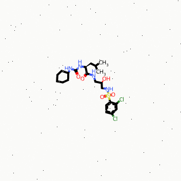 CC(C)C[C@H](NC(=O)NC1CCCCC1)C(=O)NC[C@@H](O)CNS(=O)(=O)c1ccc(Cl)cc1Cl